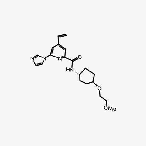 C=Cc1cc(C(=O)N[C@H]2CC[C@H](OCCOC)CC2)nc(-n2ccnc2)c1